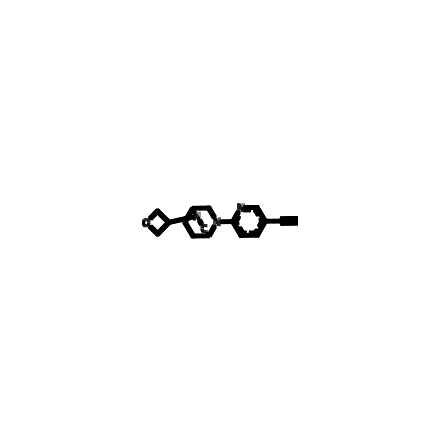 C#Cc1ccc(N2CC3CCC2CN3C2COC2)nc1